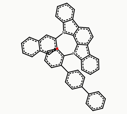 c1ccc(-c2ccc(-c3ccccc3-n3c4ccccc4c4ccc5c6ccccc6n(-c6ccc7ccccc7c6)c5c43)cc2)cc1